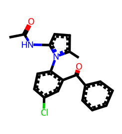 CC(=O)Nc1ccc(C)n1-c1ccc(Cl)cc1C(=O)c1ccccc1